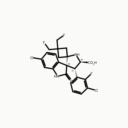 O=C(O)[C@@H]1NC2(CC(CF)(CF)C2)[C@@]2(C(=O)Nc3cc(Cl)ccc32)[C@H]1c1cccc(Cl)c1F